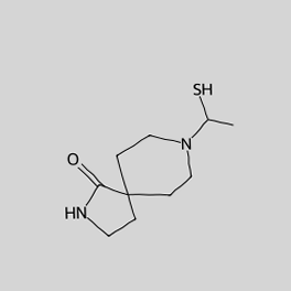 CC(S)N1CCC2(CCNC2=O)CC1